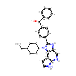 N#CC[C@H]1CC[C@@H](n2c(-c3ccc(C(=O)c4ccccc4)cc3)nc3cnc4[nH]ccc4c32)CC1